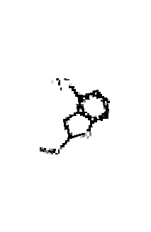 COC1Cc2c(cccc2C(=O)O)O1